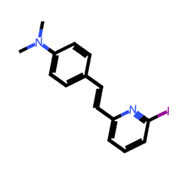 CN(C)c1ccc(/C=C/c2cccc(I)n2)cc1